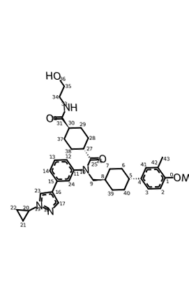 COc1ccc([C@H]2CC[C@H](CN(c3cccc(-c4cnn(C5CC5)c4)c3)C(=O)[C@H]3CC[C@H](C(=O)NCCO)CC3)CC2)cc1C